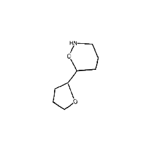 C1COC(C2CCCNO2)C1